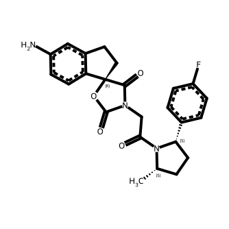 C[C@H]1CC[C@@H](c2ccc(F)cc2)N1C(=O)CN1C(=O)O[C@@]2(CCc3cc(N)ccc32)C1=O